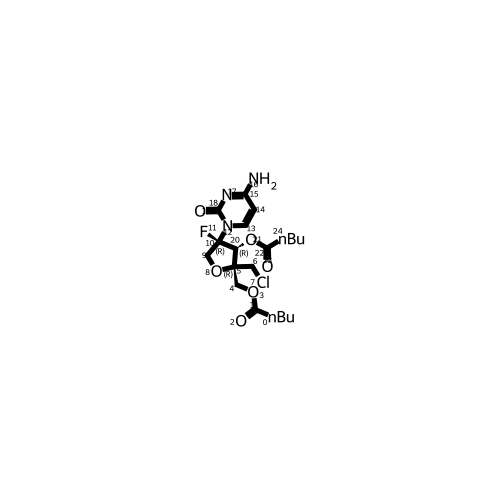 CCCCC(=O)OC[C@@]1(CCl)OC[C@](F)(n2ccc(N)nc2=O)[C@@H]1OC(=O)CCCC